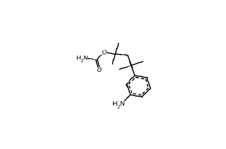 CC(C)(CC(C)(C)c1cccc(N)c1)OC(N)=O